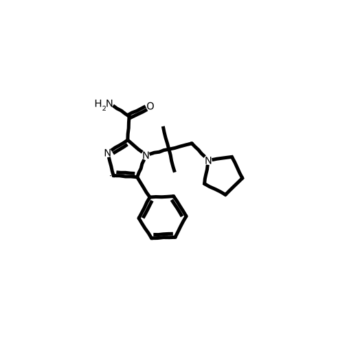 CC(C)(CN1CCCC1)n1c(-c2ccccc2)[c]nc1C(N)=O